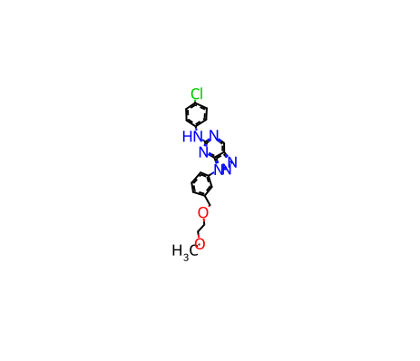 COCCOCc1cccc(-n2nnc3cnc(Nc4ccc(Cl)cc4)nc32)c1